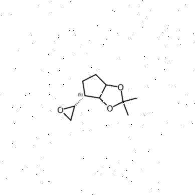 CC1(C)OC2CC[C@@H](C3CO3)C2O1